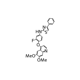 COc1cc2nccc(Oc3ccc(Nc4nc(-c5ccccc5)cs4)cc3F)c2cc1OC